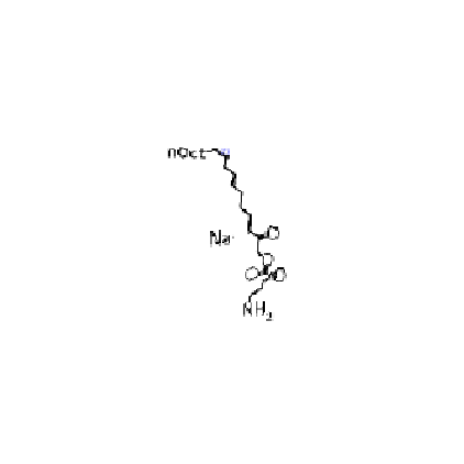 CCCCCCCC/C=C\CCCCCCCC(=O)COS(=O)(=O)CCN.[Na]